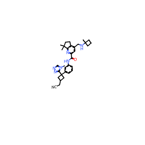 Cn1cnnc1C1(c2cccc(NC(=O)c3cc(CNC4(C)CCC4)c4c(n3)C(C)(C)CC4)c2)CC(CC#N)C1